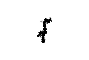 COC(=O)N[C@H](C(=O)N1CCC[C@H]1c1nc(-c2ccc(-c3ccc(-c4cnc(C5C[C@@H](OC(=O)N6Cc7cccc(F)c7C6)CN5C(=O)[C@@H](NC(=O)OC(C)(C)C)C(C)C)[nH]4)cc3)cc2)c[nH]1)C(C)C